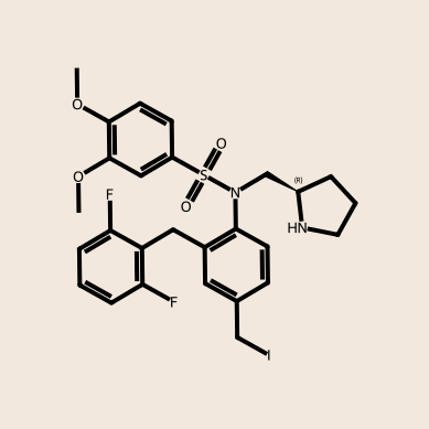 COc1ccc(S(=O)(=O)N(C[C@H]2CCCN2)c2ccc(CI)cc2Cc2c(F)cccc2F)cc1OC